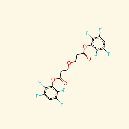 O=C(CCOCCC(=O)Oc1c(F)c(F)cc(F)c1F)Oc1c(F)c(F)cc(F)c1F